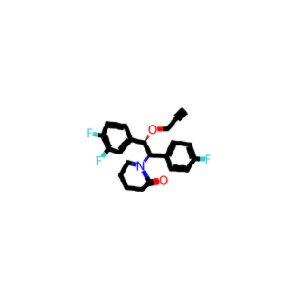 C#CCO[C@@H](c1ccc(F)c(F)c1)[C@@H](c1ccc(F)cc1)N1CCCCC1=O